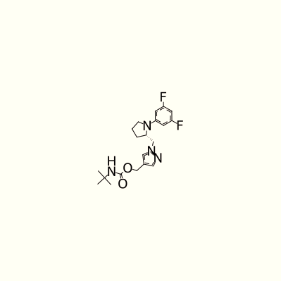 CC(C)(C)NC(=O)OCc1cnn(C[C@@H]2CCCN2c2cc(F)cc(F)c2)c1